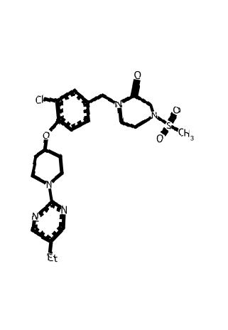 CCc1cnc(N2CCC(Oc3ccc(CN4CCN(S(C)(=O)=O)CC4=O)cc3Cl)CC2)nc1